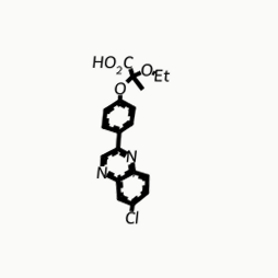 CCOC(C)(Oc1ccc(-c2cnc3cc(Cl)ccc3n2)cc1)C(=O)O